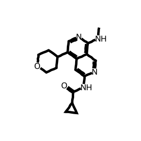 CNc1ncc(C2CCOCC2)c2cc(NC(=O)C3CC3)ncc12